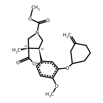 C=C1CCCC(Oc2cc([C@@H]3CN(C(=O)OC)C[C@@]3(C)C(C)=O)ccc2OC)C1